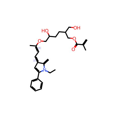 C=C(C)C(=O)OCC(CO)CCC(O)CO/C(C)=C/C=c1/cc(-c2ccccc2)n(CC)c1=C